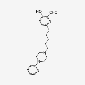 O=Cc1nc(CCCCCN2CCN(c3ccccn3)CC2)ccc1O